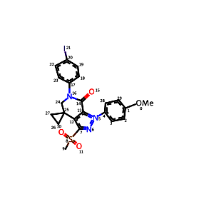 COc1ccc(-n2nc(S(C)(=O)=O)c3c2C(=O)N(c2ccc(I)cc2)CC32CC2)cc1